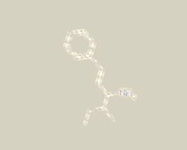 CCC(C)C(N)C=Cc1ccccc1